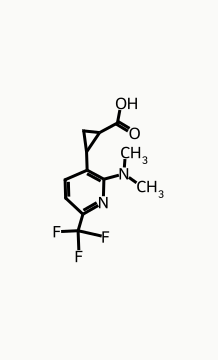 CN(C)c1nc(C(F)(F)F)ccc1C1CC1C(=O)O